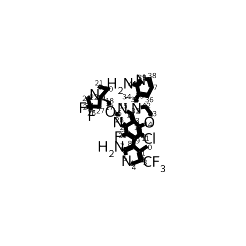 Cc1c(C(F)(F)F)cnc(N)c1-c1c(Cl)c2c3c(nc(OC[C@]45CCN4CC(F)(F)C5)nc3c1F)N([C@H](C)c1cccnc1N)CCO2